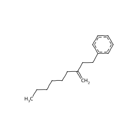 C=C(CCCCCC)CCc1ccccc1